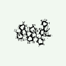 C=C[n+]1c(-c2ccccc2CC[n+]2ccccc2-c2ccccc2CCc2ccccc2-c2cccc[n+]2C)ccc(-c2ccccc2)c1C